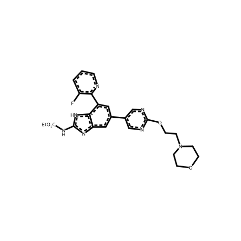 CCOC(=O)Nc1nc2cc(-c3cnc(OCCN4CCOCC4)nc3)cc(-c3ncccc3F)c2[nH]1